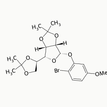 COc1ccc(Br)c(O[C@@H]2O[C@H]([C@H]3COC(C)(C)O3)[C@@H]3OC(C)(C)O[C@H]23)c1